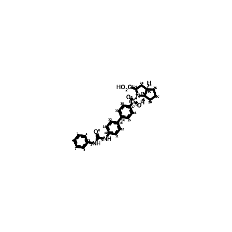 O=C(Nc1ccccc1)Nc1ccc(-c2ccc(S(=O)(=O)N3C(C(=O)O)C[C@H]4CCC[C@H]43)cc2)cc1